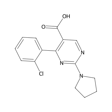 O=C(O)c1cnc(N2CCCC2)nc1-c1ccccc1Cl